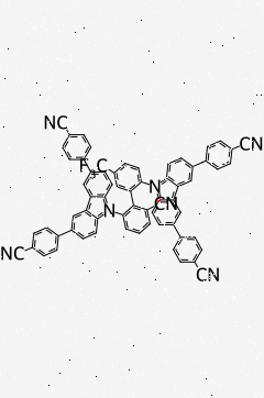 N#Cc1ccc(-c2ccc3c(c2)c2cc(-c4ccc(C#N)cc4)ccc2n3-c2ccc(C(F)(F)F)cc2-c2c(C#N)cccc2-n2c3ccc(-c4ccc(C#N)cc4)cc3c3cc(-c4ccc(C#N)cc4)ccc32)cc1